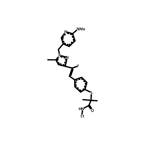 CCNC(=O)C(C)(C)Sc1ccc(C=C(F)c2cc(C)n(Cc3ccc(NC)nc3)n2)cc1